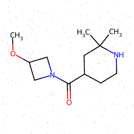 COC1CN(C(=O)C2CCNC(C)(C)C2)C1